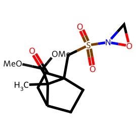 COC(OC)C1(C)C2CCC1(CS(=O)(=O)N1CO1)C(=O)C2